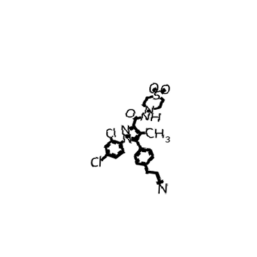 Cc1c(C(=O)NN2CCS(=O)(=O)CC2)nn(-c2ccc(Cl)cc2Cl)c1-c1ccc(CCC#N)cc1